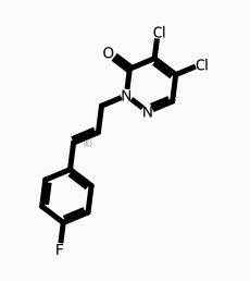 O=c1c(Cl)c(Cl)cnn1C/C=C/c1ccc(F)cc1